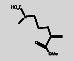 C=C(CCCN(C)C(=O)O)C(=O)OC